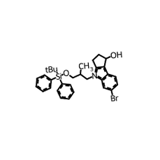 CC(CO[Si](c1ccccc1)(c1ccccc1)C(C)(C)C)Cn1c2c(c3ccc(Br)cc31)C(O)CC2